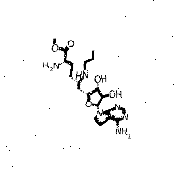 CCCN[C@@H](CC[C@H](N)C(=O)OC)C[C@H]1O[C@@H](n2ccc3c(N)ncnc32)C(O)[C@H]1O